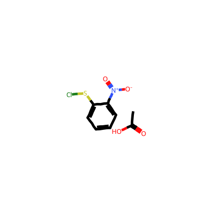 CC(=O)O.O=[N+]([O-])c1ccccc1SCl